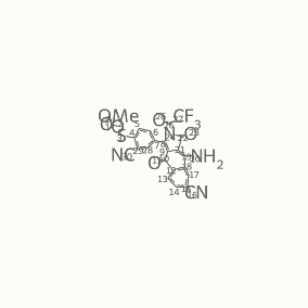 COOOSc1ccc(C2=C3C(=O)c4ccc(C#N)cc4C(N)=C3C(=O)N2C(=O)C(F)(F)F)cc1C#N